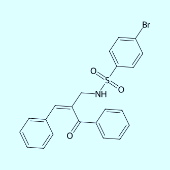 O=C(C(=Cc1ccccc1)CNS(=O)(=O)c1ccc(Br)cc1)c1ccccc1